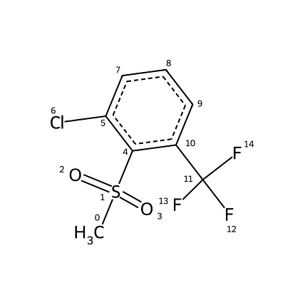 CS(=O)(=O)c1c(Cl)cccc1C(F)(F)F